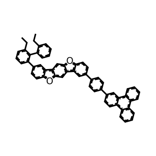 CCc1ccccc1-c1c(CC)cccc1-c1ccc2oc3cc4c(cc3c2c1)oc1ccc(-c2ccc(-c3ccc5c6ccccc6c6ccccc6c5c3)cc2)cc14